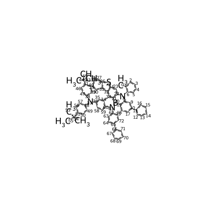 Cc1ccccc1N1c2cc(-c3ccccc3)ccc2B2c3c1cc1sc4ccccc4c1c3-c1cc(N(c3ccc(C(C)(C)C)cc3)c3ccc(C(C)(C)C)cc3)ccc1N2c1ccc(-c2ccccc2)cc1